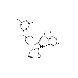 C=C(C)CN1C(=O)N2Cc3cc(C)cc(C)c3[C@H](C)C=C2C12CCN(Cc1cc(C)cc(C)c1)CC2